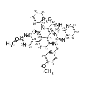 COc1ccc(CNc2nc(N[C@@H](C)c3cc4cccc(-c5cnc(OC)nc5)c4c(=O)n3-c3ccccc3)c3ncccc3n2)cc1